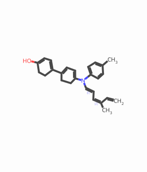 C=C/C(C)=C\C=C\N(C1=CC=C(C2=CC=C(O)CC2)CC1)c1ccc(C)cc1